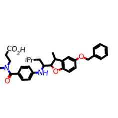 CC(C)CC(Nc1ccc(C(=O)N(C)CCC(=O)O)cc1)C1Oc2ccc(OCc3ccccc3)cc2C1C